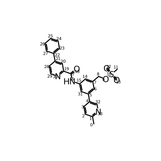 Cc1ccc(-c2cc(COS(C)(=O)=O)cc(NC(=O)c3cc(-c4ccccc4)ccn3)c2)cn1